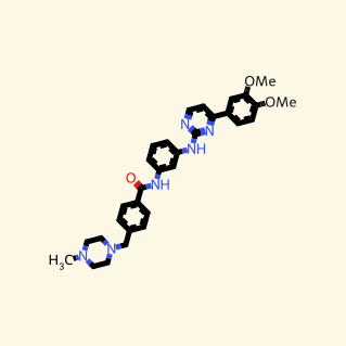 COc1ccc(-c2ccnc(Nc3cccc(NC(=O)c4ccc(CN5CCN(C)CC5)cc4)c3)n2)cc1OC